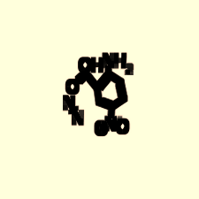 N#N.Nc1ccc([N+](=O)[O-])cc1C(=O)O